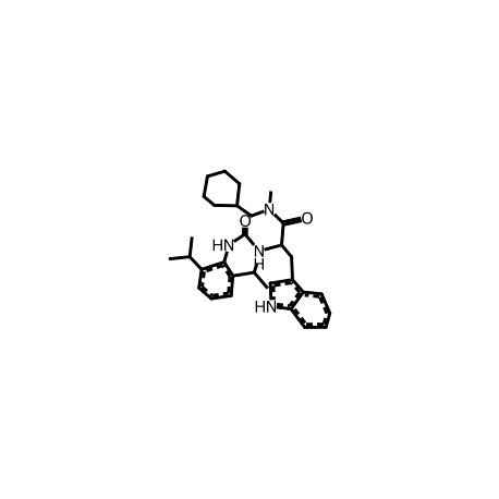 CC(C)c1cccc(C(C)C)c1NC(=O)NC(Cc1c[nH]c2ccccc12)C(=O)N(C)CC1CCCCC1